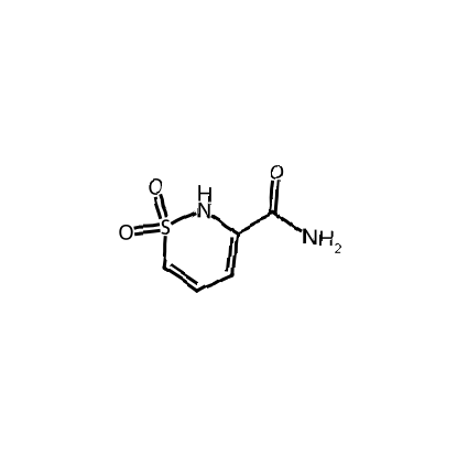 NC(=O)C1=CC=CS(=O)(=O)N1